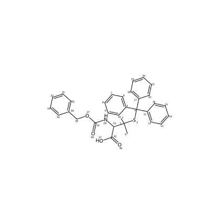 CC(C)(SC(c1ccccc1)(c1ccccc1)c1ccccc1)C(NC(=O)OCc1ccccc1)C(=O)O